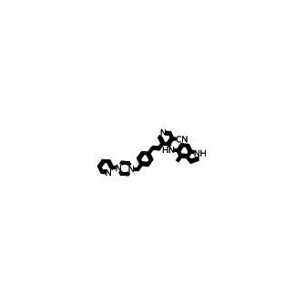 Cc1c(Nc2c(C#N)cncc2C=Cc2ccc(CN3CCN(c4ccccn4)CC3)cc2)ccc2[nH]ccc12